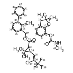 CNC(=O)Oc1cccc2c1OC(C)(C)C2.Cc1c(COC(=O)C2C(/C=C(\Cl)C(F)(F)F)C2(C)C)cccc1-c1ccccc1